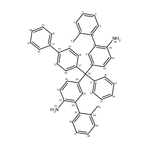 Cc1ccccc1-c1cc(C(c2ccccc2)(c2ccc(-c3ccccc3)cc2)c2ccc(N)c(-c3ccccc3C)c2)ccc1N